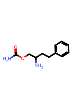 NC(=O)OCC(N)CCc1ccccc1